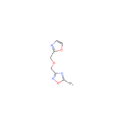 FC(F)(F)c1nc(COCc2ncco2)no1